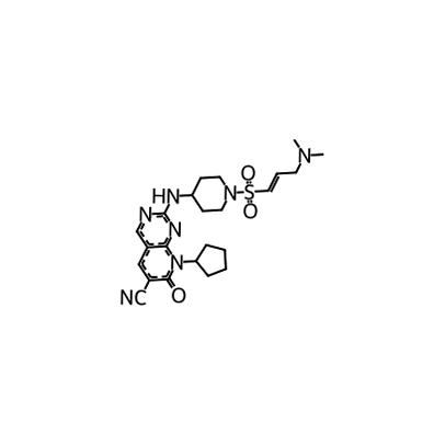 CN(C)C/C=C/S(=O)(=O)N1CCC(Nc2ncc3cc(C#N)c(=O)n(C4CCCC4)c3n2)CC1